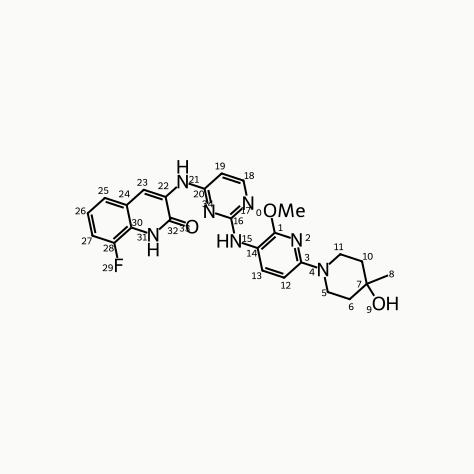 COc1nc(N2CCC(C)(O)CC2)ccc1Nc1nccc(Nc2cc3cccc(F)c3[nH]c2=O)n1